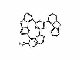 CC1CC=CC=C1c1ccc2oc3cccc(-c4nc(C5=CCCC=C5)nc(-c5cccc6sc7ccccc7c56)n4)c3c2c1